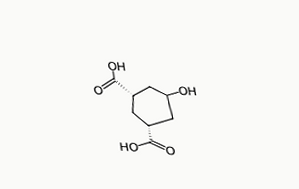 O=C(O)[C@@H]1CC(O)C[C@H](C(=O)O)C1